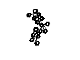 c1ccc(N(c2ccccc2)c2ccc3c(c2)C2(c4ccccc4-c4ccccc42)c2cc(-c4cc(-c5ccc6c(c5)C5(c7ccccc7-c7ccccc75)c5cc(N(c7ccccc7)c7ccccc7)ccc5-6)c5c(c4)c4ccccc4n5-c4ccccc4)ccc2-3)cc1